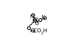 CC(OC(C)(C)C(=O)O)c1cccc(CCCCn2cc(-c3ccccn3)nc2C(=O)c2ccc(-c3ccccn3)cc2)c1